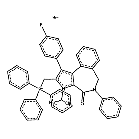 CC(C)n1c(C[P+](c2ccccc2)(c2ccccc2)c2ccccc2)c(-c2ccc(F)cc2)c2c1C(=O)N(c1ccccc1)Cc1ccccc1-2.[Br-]